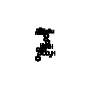 CCC[CH2][Sn]([CH2]CCC)([CH2]CCC)[c]1ccc2c(c1)Cc1cc(NC(=O)CC(NC(=O)OCc3ccccc3)C(=O)O)ccc1-2